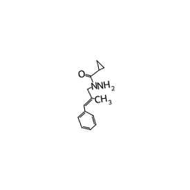 C/C(=C\c1ccccc1)CN(N)C(=O)C1CC1